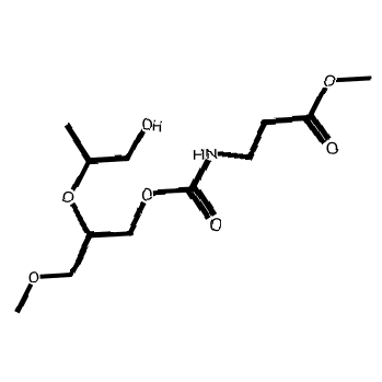 COCC(COC(=O)NCCC(=O)OC)OC(C)CO